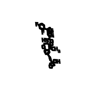 CN1C(=O)[C@@H](NC(=O)c2cn3c(-c4ccc(F)cc4F)csc3n2)COc2ccc(C#CC3(O)COC3)cc21